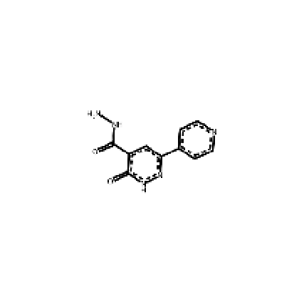 NNC(=O)c1cc(-c2ccncc2)n[nH]c1=O